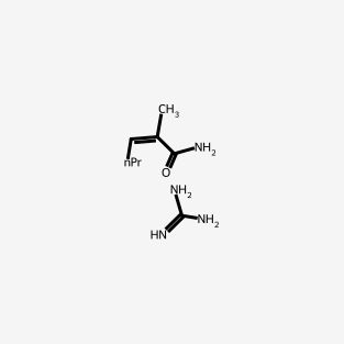 CCCC=C(C)C(N)=O.N=C(N)N